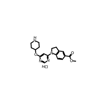 COC(=O)c1ccc2c(c1)CCN2c1cc(OC2CCNCC2)ncn1.Cl